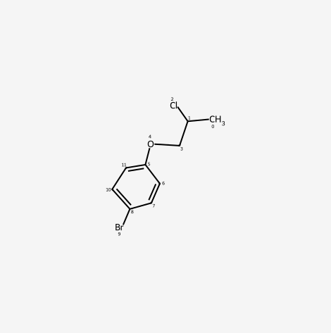 CC(Cl)COc1ccc(Br)cc1